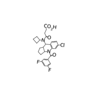 O=C(O)CCC(=O)N(C1CCC1)C1c2ccc(Cl)cc2N(C(=O)c2cc(F)cc(F)c2)C2CCCC21